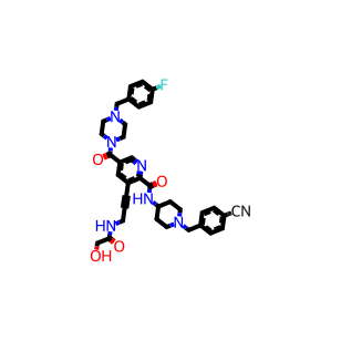 N#Cc1ccc(CN2CCC(NC(=O)c3ncc(C(=O)N4CCN(Cc5ccc(F)cc5)CC4)cc3C#CCNC(=O)CO)CC2)cc1